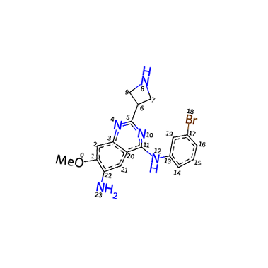 COc1cc2nc(C3CNC3)nc(Nc3cccc(Br)c3)c2cc1N